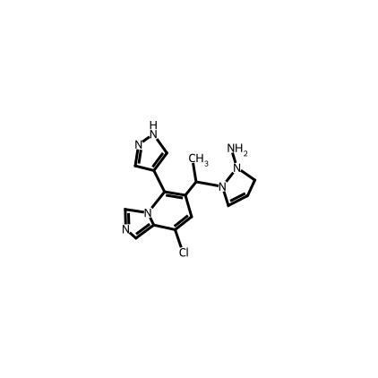 CC(c1cc(Cl)c2cncn2c1-c1cn[nH]c1)N1C=CCN1N